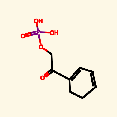 O=C(COP(=O)(O)O)C1=CC=CCC1